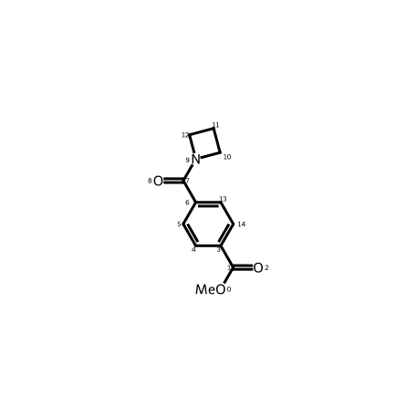 COC(=O)c1ccc(C(=O)N2CCC2)cc1